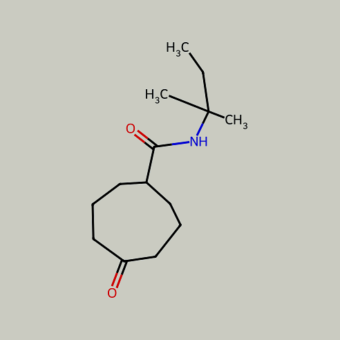 CCC(C)(C)NC(=O)C1CCCC(=O)CCC1